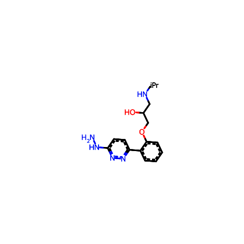 CC(C)NCC(O)COc1ccccc1-c1ccc(NN)nn1